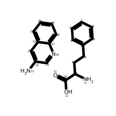 NC(CCc1ccccc1)C(=O)O.Nc1cnc2ccccc2c1